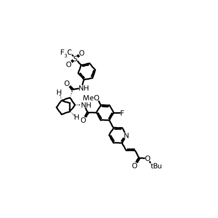 COc1cc(F)c(-c2ccc(/C=C/C(=O)OC(C)(C)C)nc2)cc1C(=O)N[C@@H]1[C@H]2CC[C@H](C2)[C@@H]1C(=O)Nc1cccc(S(=O)(=O)C(F)(F)F)c1